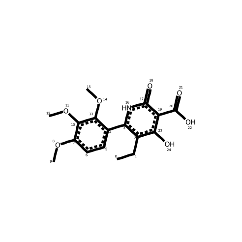 CCc1c(-c2ccc(OC)c(OC)c2OC)[nH]c(=O)c(C(=O)O)c1O